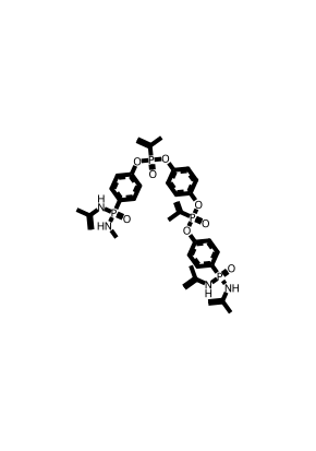 C=C(C)NP(=O)(NC)c1ccc(OP(=O)(Oc2ccc(OP(=O)(Oc3ccc(P(=O)(NC(=C)C)NC(=C)C)cc3)C(=C)C)cc2)C(=C)C)cc1